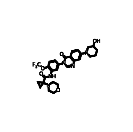 O=C(Nc1cc(-n2cnc3cc(N4CCCC(O)C4)ccc3c2=O)ccc1OC(F)(F)F)C1(N2CCOCC2)CC1